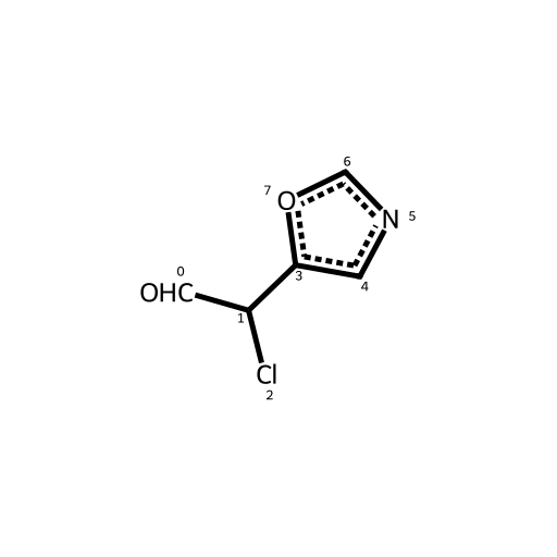 O=CC(Cl)c1cnco1